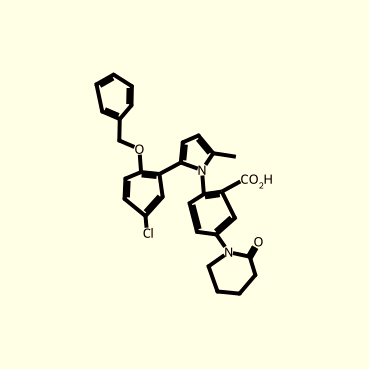 Cc1ccc(-c2cc(Cl)ccc2OCc2ccccc2)n1-c1ccc(N2CCCCC2=O)cc1C(=O)O